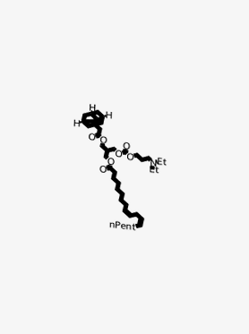 CCCCC/C=C\C/C=C\CCCCCCCC(=O)OCC(COC(=O)CC12C[C@H]3C[C@@H](C1)C[C@@H](C2)C3)COC(=O)OCCCN(CC)CC